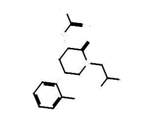 CC(C)CN1C[C@H](c2ccccc2F)C[C@H](NC(=O)O)C1=O